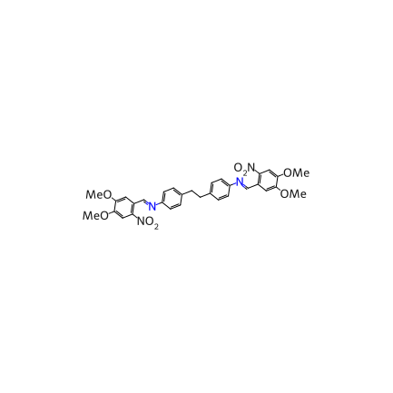 COc1cc(C=Nc2ccc(CCc3ccc(N=Cc4cc(OC)c(OC)cc4[N+](=O)[O-])cc3)cc2)c([N+](=O)[O-])cc1OC